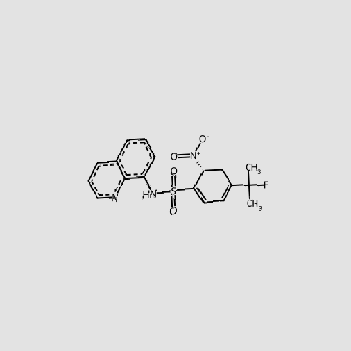 CC(C)(F)C1=CC=C(S(=O)(=O)Nc2cccc3cccnc23)[C@H]([N+](=O)[O-])C1